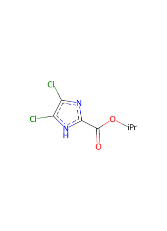 CC(C)OC(=O)c1nc(Cl)c(Cl)[nH]1